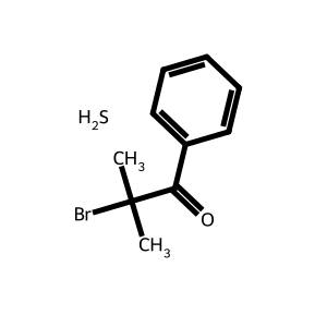 CC(C)(Br)C(=O)c1ccccc1.S